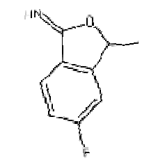 CC1OC(=N)c2ccc(F)cc21